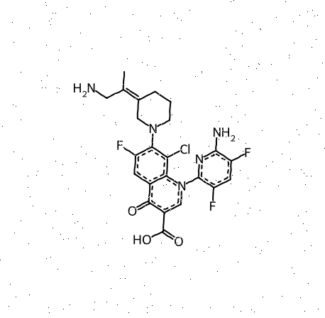 CC(CN)=C1CCCN(c2c(F)cc3c(=O)c(C(=O)O)cn(-c4nc(N)c(F)cc4F)c3c2Cl)C1